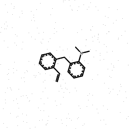 C=Cc1ccccc1Cc1ccccc1N(C)C